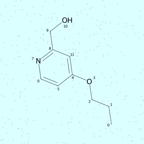 CCCOc1ccnc(CO)c1